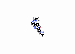 Cc1cnc(Nc2cc(C)n(C)n2)nc1-c1c[nH]c2c(N3Cc4ccc(NC(=O)C5CC5)cc4C3=O)cccc12